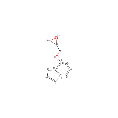 C1=Cc2cccc(OCC3CO3)c2C1